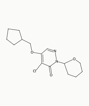 O=c1c(Cl)c(OCC2CCCC2)cnn1C1CCCCO1